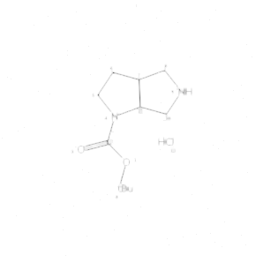 CC(C)(C)OC(=O)N1CCC2CNCC21.Cl